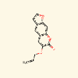 C=CCOc1cc2cc3ccoc3cc2oc1=O